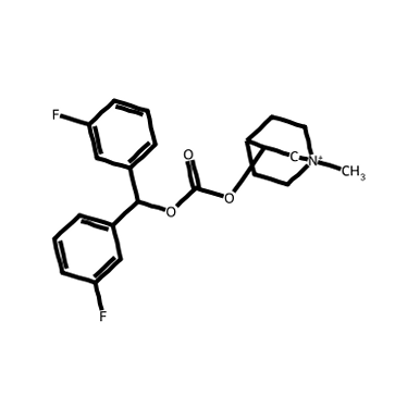 C[N+]12CCC(CC1)C(OC(=O)OC(c1cccc(F)c1)c1cccc(F)c1)C2